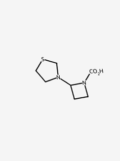 O=C(O)N1CCC1N1CCSC1